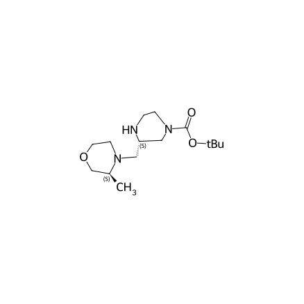 C[C@H]1COCCN1C[C@H]1CN(C(=O)OC(C)(C)C)CCN1